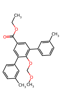 CCOC(=O)c1cc(-c2cccc(C)c2)c(OCOC)c(-c2cccc(C)c2)c1